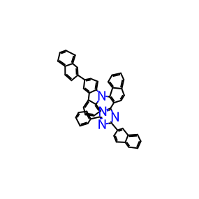 c1ccc(-c2nc(-c3ccc4ccccc4c3)nc(-c3ccc4ccccc4c3-n3c4ccccc4c4cc(-c5ccc6ccccc6c5)ccc43)n2)cc1